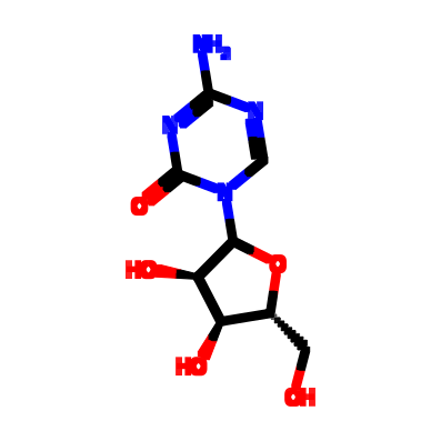 Nc1ncn(C2O[C@H](CO)[C@@H](O)[C@H]2O)c(=O)n1